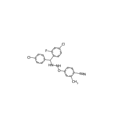 Cc1cc(ONNC(c2ccc(Cl)cc2)c2ccc(Cl)cc2F)ccc1C#N